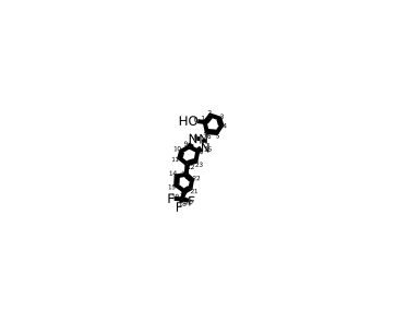 Oc1ccccc1-n1nc2ccc(-c3ccc(C(F)(F)F)cc3)cc2n1